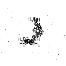 CNCCOC(=O)Cn1nnc2c1-c1ccccc1CN(C(=O)CCC(=O)NCCC(C)(C)OCCC(C)(C)C(=O)C(C)C)c1ccccc1-2